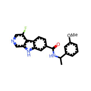 COc1cccc(C(C)NC(=O)c2ccc3c(c2)[nH]c2cncc(F)c23)c1